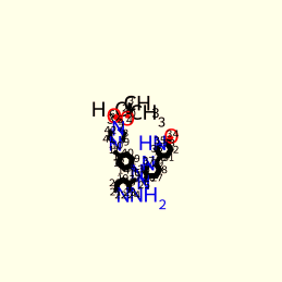 CC(C)(C)OC(=O)N1CCN(Cc2ccc(-n3c(-c4cccnc4N)nc4ccc(-c5ccc(=O)[nH]c5)nc43)cc2)CC1